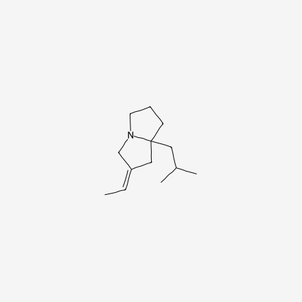 C/C=C1\CN2CCCC2(CC(C)C)C1